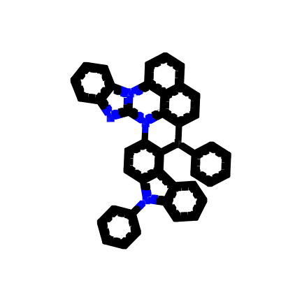 c1ccc(B2c3c(ccc4c3c3ccccc3n4-c3ccccc3)-n3c4c2ccc2cccc(c24)n2c4ccccc4nc32)cc1